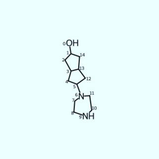 OC1CC2CC(N3CCNCC3)CC2C1